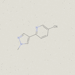 Cn1cc(-c2ccc(C#N)cn2)cn1